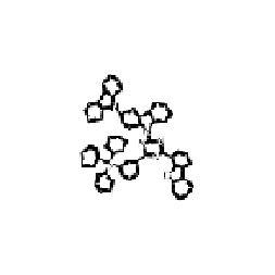 c1ccc(S(c2ccccc2)(c2ccccc2)c2cccc(-c3nc(-c4cccc5c4oc4ccccc45)nc(-n4c5ccccc5c5cc(-n6c7ccccc7c7ccccc76)ccc54)n3)c2)cc1